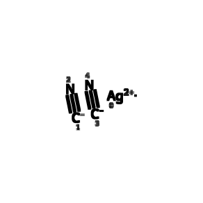 [Ag+2].[C-]#N.[C-]#N